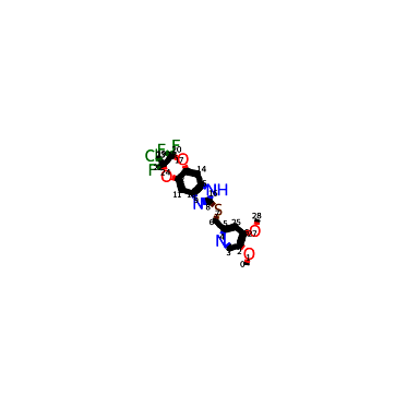 COc1cnc(CSc2nc3cc4c(cc3[nH]2)OC(F)(F)C(F)(Cl)O4)cc1OC